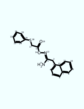 N/C(Cc1cccc2ccccc12)=N\OC(=O)CSc1ccccc1